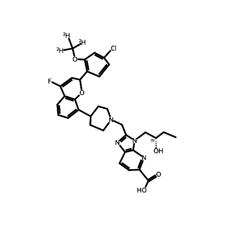 [2H]C([2H])([2H])Oc1cc(Cl)ccc1C1C=C(F)c2cccc(C3CCN(Cc4nc5ccc(C(=O)O)nc5n4C[C@@H](O)CC)CC3)c2O1